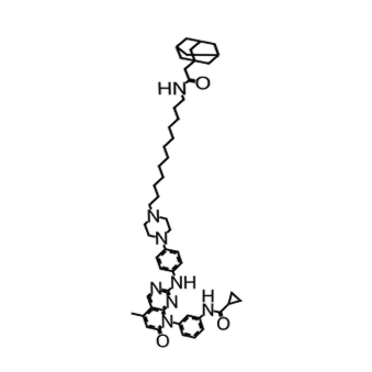 Cc1cc(=O)n(-c2cccc(NC(=O)C3CC3)c2)c2nc(Nc3ccc(N4CCN(CCCCCCCCCCCCNC(=O)CC56CC7CC(CC(C7)C5)C6)CC4)cc3)ncc12